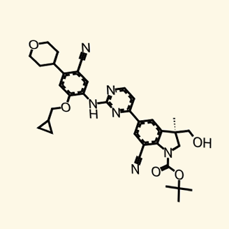 CC(C)(C)OC(=O)N1C[C@](C)(CO)c2cc(-c3ccnc(Nc4cc(C#N)c(C5CCOCC5)cc4OCC4CC4)n3)cc(C#N)c21